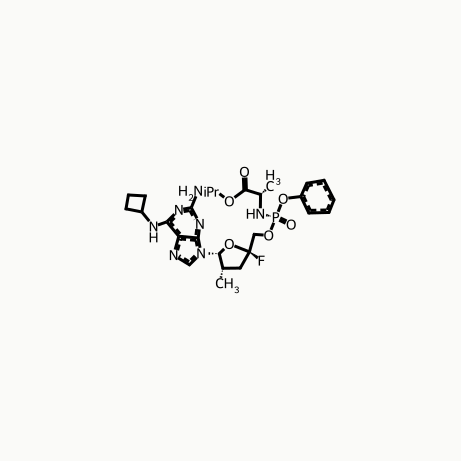 CC(C)OC(=O)[C@H](C)N[P@](=O)(OC[C@]1(F)C[C@H](C)[C@H](n2cnc3c(NC4CCC4)nc(N)nc32)O1)Oc1ccccc1